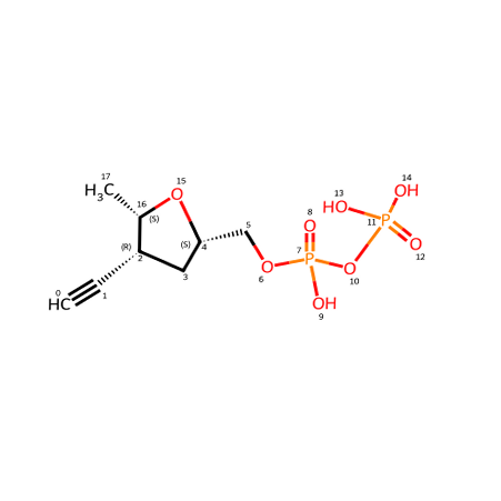 C#C[C@H]1C[C@@H](COP(=O)(O)OP(=O)(O)O)O[C@H]1C